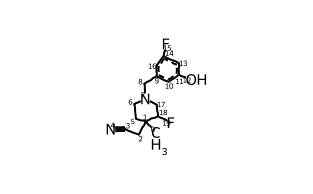 CC1(CC#N)CCN(Cc2cc(O)cc(F)c2)CC1F